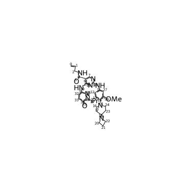 C=CCNC(=O)c1cnc(Nc2ccc(N3CCC(N4CCC4)CC3)c(OC)c2)nc1Nc1ccc(=O)n(C(C)C)n1